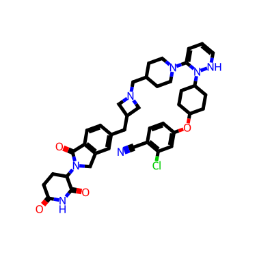 N#Cc1ccc(OC2CCC(N3NC=CC=C3N3CCC(CN4CC(Cc5ccc6c(c5)CN(C5CCC(=O)NC5=O)C6=O)C4)CC3)CC2)cc1Cl